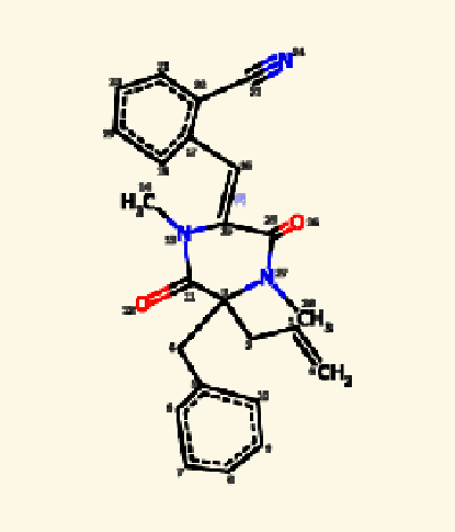 C=CCC1(Cc2ccccc2)C(=O)N(C)/C(=C\c2ccccc2C#N)C(=O)N1C